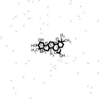 CC1(C)CC[C@]2(CC(=O)O)CC[C@]3(C)C(=CC[C@@H]4[C@@]5(C)C[C@@H](O)[C@@H](O)C(C)(C)[C@@H]5CC[C@]43C)[C@@H]2C1=O